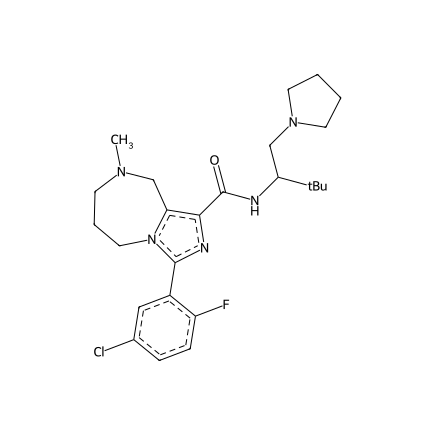 CN1CCCn2c(-c3cc(Cl)ccc3F)nc(C(=O)NC(CN3CCCC3)C(C)(C)C)c2C1